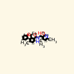 CCC(Oc1ccccc1)c1cc(C)ccc1C(=O)NCc1c(C)cc(C)nc1O